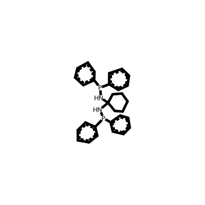 c1ccc(P(NC2(NP(c3ccccc3)c3ccccc3)CCCCC2)c2ccccc2)cc1